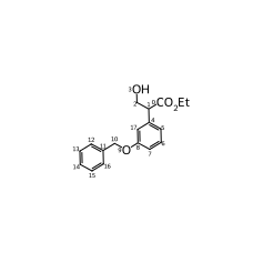 CCOC(=O)C(CO)c1cccc(OCc2ccccc2)c1